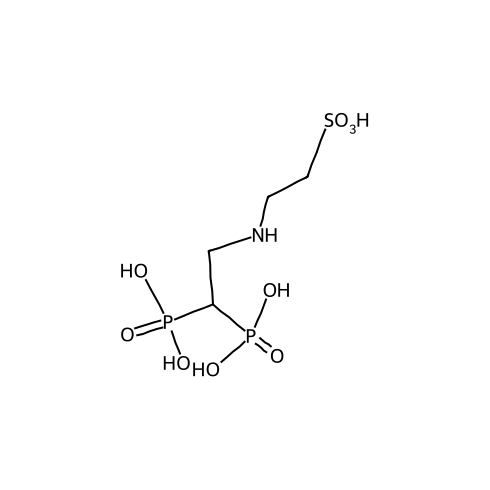 O=P(O)(O)C(CNCCS(=O)(=O)O)P(=O)(O)O